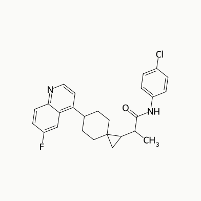 CC(C(=O)Nc1ccc(Cl)cc1)C1CC12CCC(c1ccnc3ccc(F)cc13)CC2